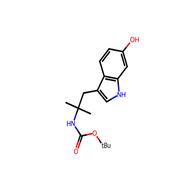 CC(C)(Cc1c[nH]c2cc(O)ccc12)NC(=O)OC(C)(C)C